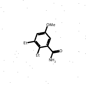 CCc1cc(OC)cc(C(N)=O)c1CC